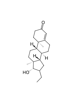 CCC1C[C@H]2[C@@H]3CCC4=CC(=O)CC[C@]4(C)[C@H]3CC[C@]2(C)[C@H]1O